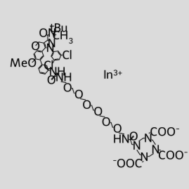 COc1cc2c(cc1-c1cccc(NC(=O)NCCOCCOCCOCCOCCOCCOCCNC(=O)CN3CCN(CC(=O)[O-])CCN(CC(=O)[O-])CCN(CC(=O)[O-])CC3)c1)-c1c(c(C(=O)N(C)C(C)(C)C)nn1-c1cc(Cl)cc(Cl)c1)CO2.[In+3]